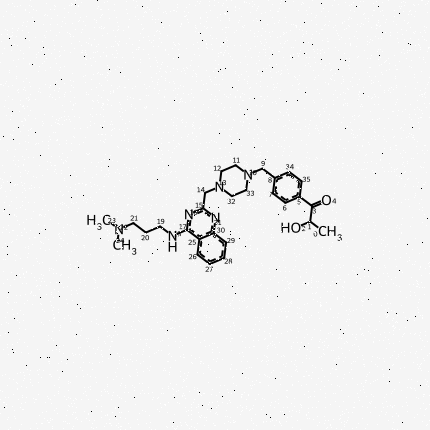 CC(O)C(=O)c1ccc(CN2CCN(Cc3nc(NCCCN(C)C)c4ccccc4n3)CC2)cc1